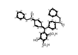 CCN(Cc1ccccc1)c1ccc(C(=C2C=CC(=[N+](CC)Cc3ccccc3)C=C2)c2cc(O)c(S(=O)(=O)O)cc2S(=O)(=O)O)cc1